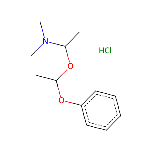 CC(Oc1ccccc1)OC(C)N(C)C.Cl